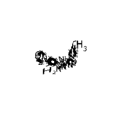 CN1CCN(c2cc(N3N=C(N)N(c4ccc(N5CCOCC5)cc4)C3N)ncn2)CC1